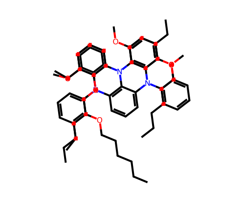 CCCCCCOc1c(CC)cccc1N(c1ccccc1OC)c1cccc(N(c2ccccc2OC)c2cccc(CC)c2OCCCCCC)c1N(c1ccccc1OC)c1cccc(CC)c1OCCCCCC